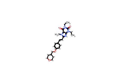 CCn1c(=O)c2c(nc(C=Cc3ccc(OCC4CCOCC4)cc3)n2C)n(CC)c1=O